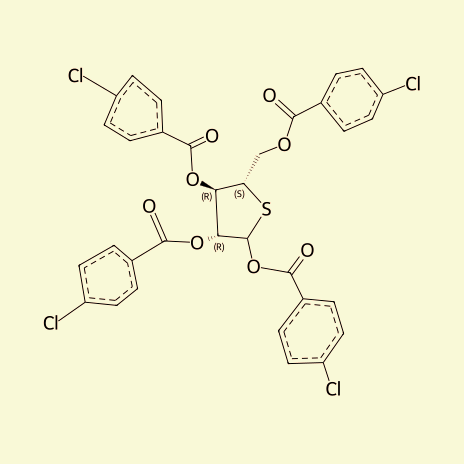 O=C(OC[C@@H]1SC(OC(=O)c2ccc(Cl)cc2)[C@H](OC(=O)c2ccc(Cl)cc2)[C@H]1OC(=O)c1ccc(Cl)cc1)c1ccc(Cl)cc1